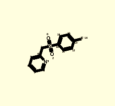 O=S(=O)(Cc1ccccn1)c1ccc(F)cc1